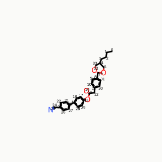 CCCCC1COC(c2ccc(CC(=O)Oc3ccc(-c4ccc(C#N)cc4)cc3)cc2)OC1